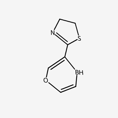 B1C=COC=C1C1=NCCS1